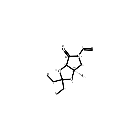 C=CN1C[C@H]2OC(CC)(CC)OC2C1=O